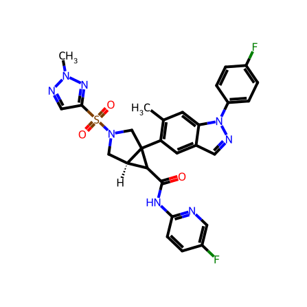 Cc1cc2c(cnn2-c2ccc(F)cc2)cc1C12CN(S(=O)(=O)c3cnn(C)n3)C[C@@H]1C2C(=O)Nc1ccc(F)cn1